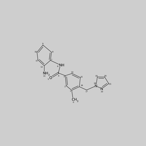 Cc1cc(C(=O)Nc2ccccc2N)ccc1Cn1cccn1